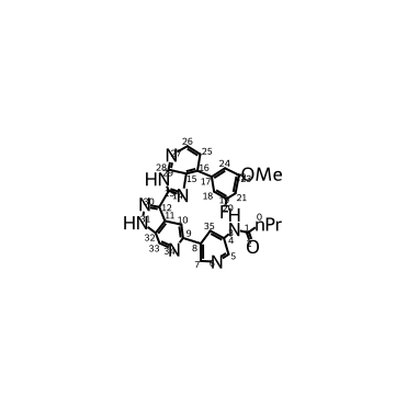 CCCC(=O)Nc1cncc(-c2cc3c(-c4nc5c(-c6cc(F)cc(OC)c6)ccnc5[nH]4)n[nH]c3cn2)c1